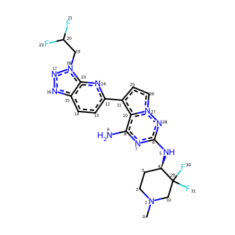 CN1CC[C@@H](Nc2nc(N)c3c(-c4ccc5nnn(CC(F)F)c5n4)ccn3n2)C(F)(F)C1